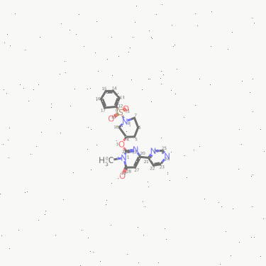 Cn1c(OC2CCCN(S(=O)(=O)c3ccccc3)C2)nc(-c2ccncn2)cc1=O